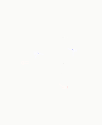 CC1(c2c(C=O)[nH]c3ccccc23)NC(=O)c2ccc(O)cc21